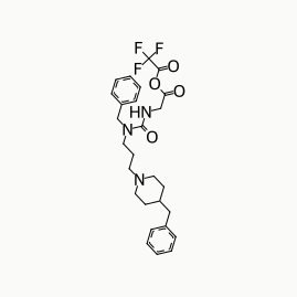 O=C(CNC(=O)N(CCCN1CCC(Cc2ccccc2)CC1)Cc1ccccc1)OC(=O)C(F)(F)F